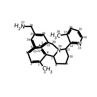 Cc1cccnc1C1CCCC(c2ncccc2C)N1Cc1cccc(CN)c1